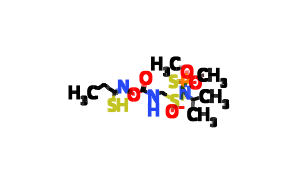 CCC(S)=NOC(=O)NC[S+]([O-])N(C(C)C)P(=S)(OC)OC